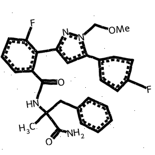 COCn1nc(-c2c(F)cccc2C(=O)NC(C)(Cc2ccccc2)C(N)=O)cc1-c1ccc(F)cc1